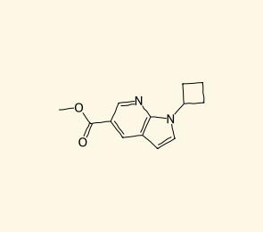 COC(=O)c1cnc2c(ccn2C2CCC2)c1